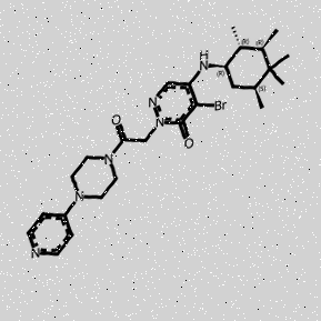 C[C@@H]1[C@@H](C)C(C)(C)[C@@H](C)C[C@H]1Nc1cnn(CC(=O)N2CCN(c3ccncc3)CC2)c(=O)c1Br